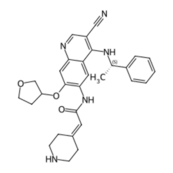 C[C@H](Nc1c(C#N)cnc2cc(OC3CCOC3)c(NC(=O)C=C3CCNCC3)cc12)c1ccccc1